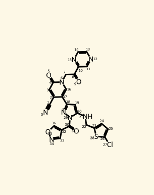 N#Cc1cc(=O)n(CC(=O)c2cnccn2)cc1-c1cc(NCc2ccc(Cl)s2)n(C(=O)c2cnoc2)n1